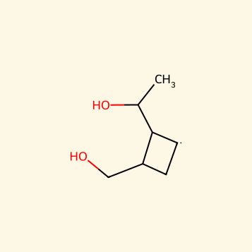 CC(O)C1[CH]CC1CO